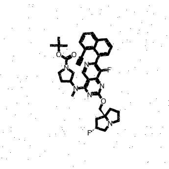 C#Cc1cccc2cccc(-c3ncc4c(N(C)C5CCN(C(=O)OC(C)(C)C)C5)nc(OC[C@@]56CCCN5C[C@H](F)C6)nc4c3F)c12